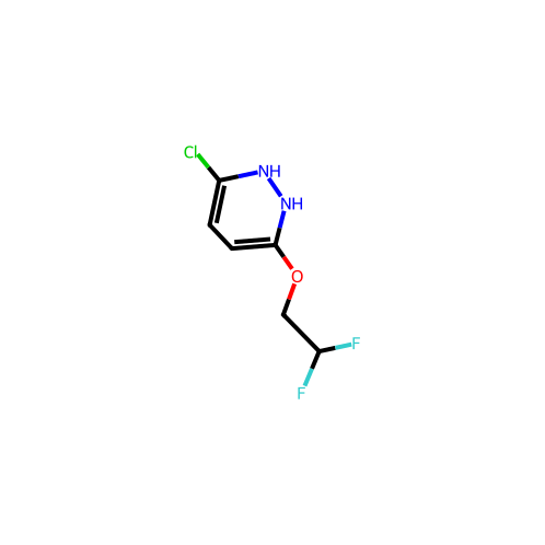 FC(F)COC1=CC=C(Cl)NN1